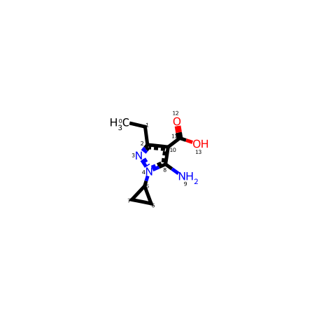 CCc1nn(C2CC2)c(N)c1C(=O)O